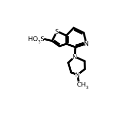 CN1CCN(c2nccc3sc(S(=O)(=O)O)cc23)CC1